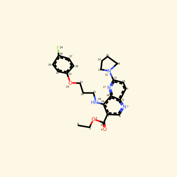 CCOC(=O)c1cnc2ccc(N3CCCC3)nc2c1NCCCOc1ccc(F)cc1